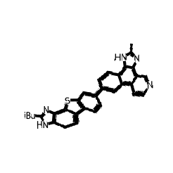 CCC(C)C1=NC2=c3sc4cc(-c5ccc6c(c5)c5ccncc5c5nc(C)[nH]c65)ccc4c3=CCC2N1